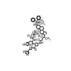 C[C@H](CCC(=O)N[C@H]1C[C@@H](C(=O)NCCc2cnc[nH]2)N(C(=O)C(Cc2c[nH]cn2)NC(=O)OC(C)(C)C)C1)[C@H]1CCC2C3CCC4C[C@H](O[Si](c5ccccc5)(c5ccccc5)C(C)(C)C)CC[C@]4(C)C3CC[C@@]21C